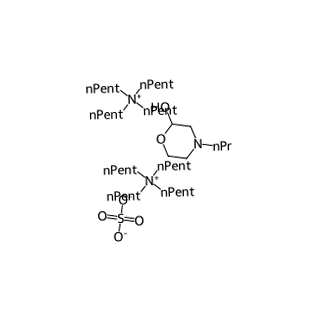 CCCCC[N+](CCCCC)(CCCCC)CCCCC.CCCCC[N+](CCCCC)(CCCCC)CCCCC.CCCN1CCOC(O)C1.O=S(=O)([O-])[O-]